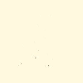 Cc1c(-c2ccco2)sc(NC(N)=O)c1C(N)=O